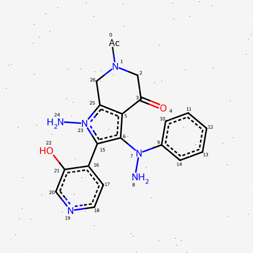 CC(=O)N1CC(=O)c2c(N(N)c3ccccc3)c(-c3ccncc3O)n(N)c2C1